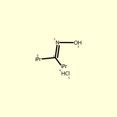 CC(C)C(=NO)C(C)C.Cl